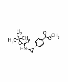 COC(=O)c1ccc([C@@H]2C[C@H]2NC(=O)OC(C)(C)C)cc1